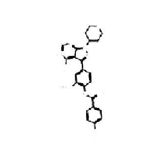 COc1cc(-c2nn(C3CCNCC3)c3ncnc(N)c23)ccc1NC(=O)c1ccc(C)cc1